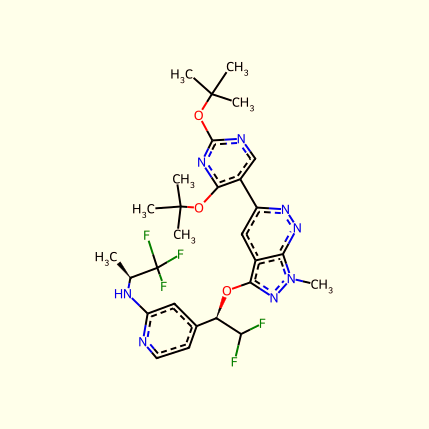 C[C@H](Nc1cc([C@@H](Oc2nn(C)c3nnc(-c4cnc(OC(C)(C)C)nc4OC(C)(C)C)cc23)C(F)F)ccn1)C(F)(F)F